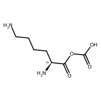 NCCCC[C@H](N)C(=O)OC(=O)O